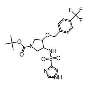 CC(C)(C)OC(=O)N1CC(NS(=O)(=O)c2c[nH]cn2)C(OCc2ccc(C(F)(F)F)cc2)C1